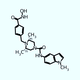 C[C@@H]1CN(C(=O)Nc2ccc3c(ccn3C)c2)C[C@H](C)N1Cc1ccc(C(=O)NO)cc1